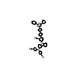 N#Cc1ccc(N(c2ccc(C#N)cc2)c2ccc3c(c2)c2ccccc2n3-c2ccc(-c3ccc(-c4ccc(-c5cc(-c6ccccc6)nc(-c6ccccc6)n5)cc4)cc3)c(C#N)c2)cc1